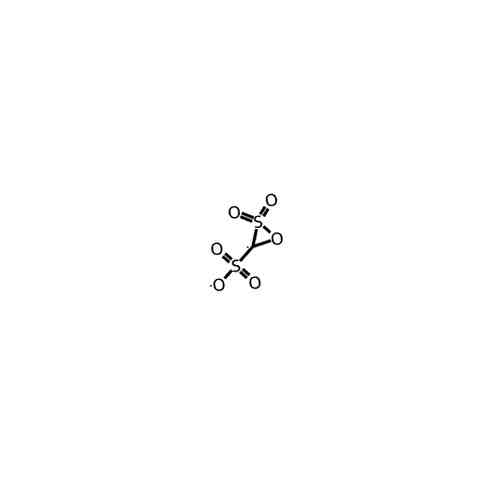 [O]S(=O)(=O)[C]1OS1(=O)=O